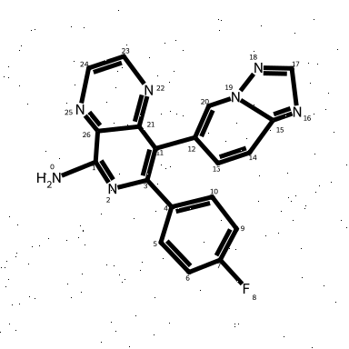 Nc1nc(-c2ccc(F)cc2)c(-c2ccc3ncnn3c2)c2nccnc12